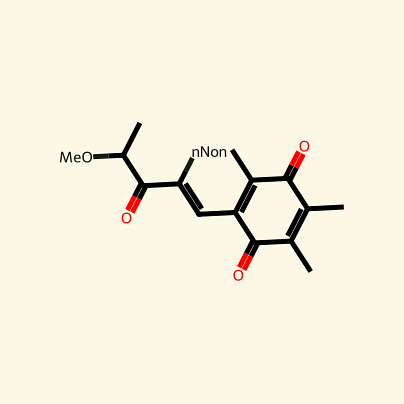 CCCCCCCCCC(=CC1=C(C)C(=O)C(C)=C(C)C1=O)C(=O)C(C)OC